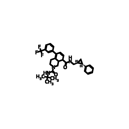 CC(C)(C)NC(=O)N1CCC2=C(c3cccc(C(F)(F)F)c3)C=CC(C(=O)NC[C@H]3C[C@@H]3c3ccccc3)C2C1